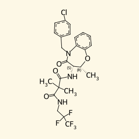 C[C@H]1Oc2ccccc2N(Cc2ccc(Cl)cc2)C(=O)[C@H]1NC(=O)C(C)(C)C(=O)NCC(F)(F)C(F)(F)F